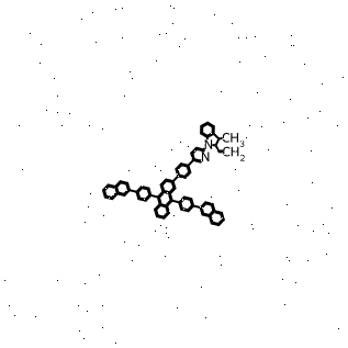 C=CC1C(C)c2ccccc2N1c1ccc(-c2ccc(-c3ccc4c(-c5ccc(-c6ccc7ccccc7c6)cc5)c5ccccc5c(-c5ccc(-c6ccc7ccccc7c6)cc5)c4c3)cc2)cn1